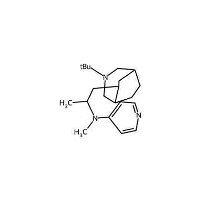 CC(CC1CC2CCC1CN(C(C)(C)C)C2)N(C)c1ccncc1